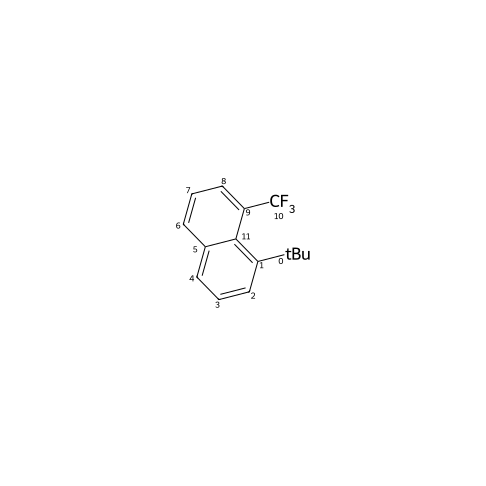 CC(C)(C)c1cccc2cccc(C(F)(F)F)c12